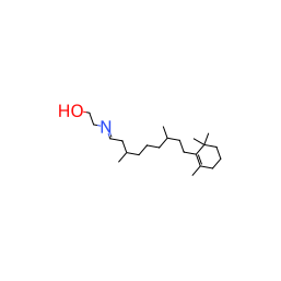 CC1=C(CCC(C)CCCC(C)CC=NCCO)C(C)(C)CCC1